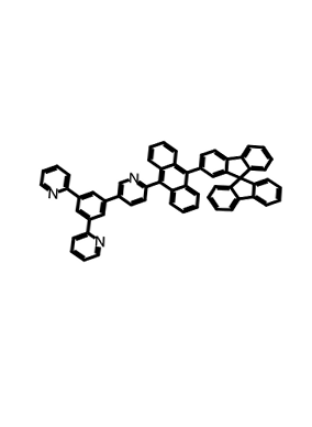 c1ccc(-c2cc(-c3ccc(-c4c5ccccc5c(-c5ccc6c(c5)C5(c7ccccc7-c7ccccc75)c5ccccc5-6)c5ccccc45)nc3)cc(-c3ccccn3)c2)nc1